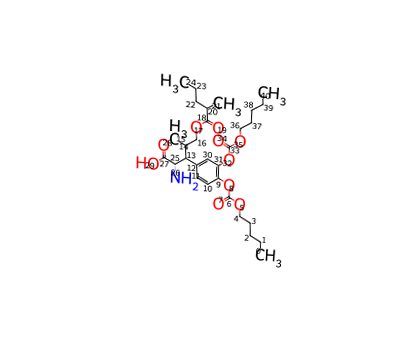 CCCCCOC(=O)Oc1ccc(C(C(C)COC(=O)C(C)CCC)[C@H](N)C(=O)O)cc1OC(=O)OCCCCC